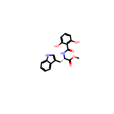 COC(=O)[C@H](Cc1c[nH]c2ccccc12)NC(=O)c1c(O)cccc1O